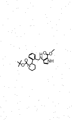 CCOC(=O)c1[nH]ccc1NCc1ccccc1C1CCCCN1C(=O)OC(C)(C)C